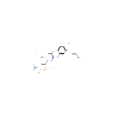 COCCCOc1cc(C[C@@H](C[C@H](NC(=O)O)[C@@H](O)CN(C(C)C)S(C)(=O)=O)C(C)C)ccc1OC